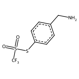 NCc1ccc(SS(=O)(=O)C(F)(F)F)cc1